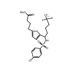 COC(=O)CCCc1ccc(C(CCCC(F)(F)C(F)(F)F)NS(=O)(=O)c2ccc(Cl)cc2)s1